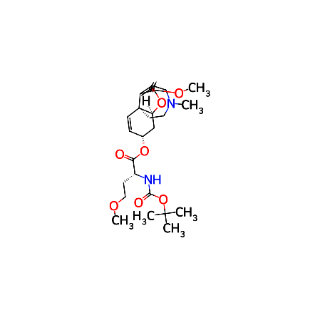 COCC[C@@H](NC(=O)OC(C)(C)C)C(=O)O[C@@H]1C=C[C@@]23CCN(C)Cc4ccc(OC)c(c42)O[C@H]3C1